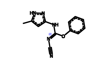 Cc1cc(N/C(=N/C#N)Oc2ccccc2)n[nH]1